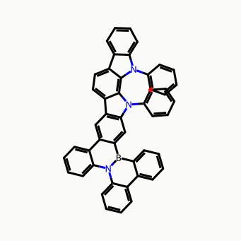 c1ccc(-n2c3ccccc3c3ccc4c5cc6c(cc5n(-c5ccccc5)c4c32)B2c3ccccc3-c3ccccc3N2c2ccccc2-6)cc1